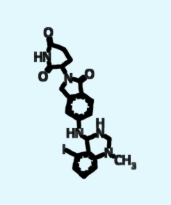 CN1CNC(Nc2ccc3c(c2)CN(C2CCC(=O)NC2=O)C3=O)c2c(I)cccc21